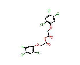 O=C(COc1cc(Cl)c(Cl)cc1Cl)OC(=O)COc1cc(Cl)c(Cl)cc1Cl